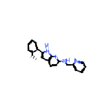 FC(F)(F)c1ccccc1-c1cc2ccc(NCc3ccccn3)nc2[nH]1